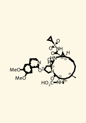 COc1cc2ccnc(O[C@@H]3C[C@H]4C(=O)N[C@]5(C(=O)NS(=O)(=O)C6CC6)C[C@H]5C=CCC[C@@H](C)C[C@@H](C)[C@H](NC(=O)O)C(=O)N4C3)c2cc1OC